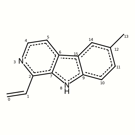 C=Cc1nccc2c1[nH]c1ccc(C)cc12